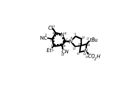 CCc1c(C#N)c(Cl)nc(N2CCC3(C2)CN(C(=O)O)C3C(C)(C)C)c1C#N